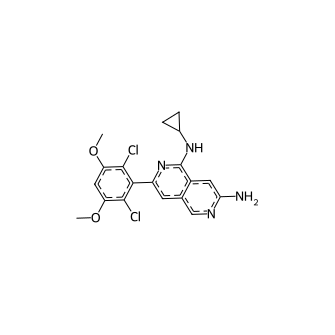 COc1cc(OC)c(Cl)c(-c2cc3cnc(N)cc3c(NC3CC3)n2)c1Cl